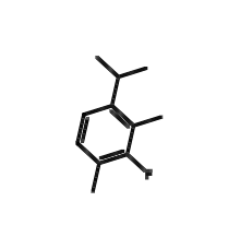 Cc1ccc(C(C)C)c(C)c1F